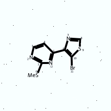 CSc1nccc(-c2ncsc2Br)n1